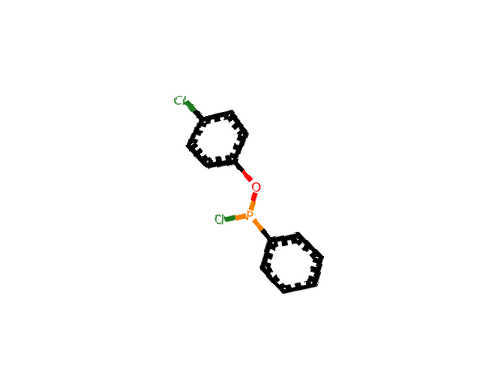 Clc1ccc(OP(Cl)c2ccccc2)cc1